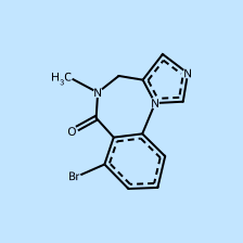 CN1Cc2cncn2-c2cccc(Br)c2C1=O